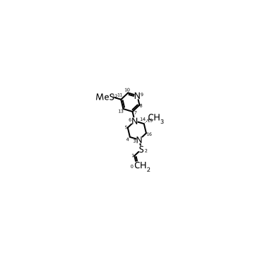 C=CSN1CCN(c2cncc(SC)c2)[C@H](C)C1